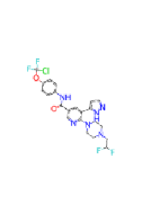 O=C(Nc1ccc(OC(F)(F)Cl)cc1)c1cnc(N2CCN(CC(F)F)CC2)c(-c2ccn[nH]2)c1